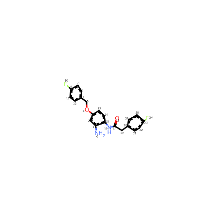 Nc1cc(OCc2ccc(F)cc2)ccc1NC(=O)Cc1ccc(F)cc1